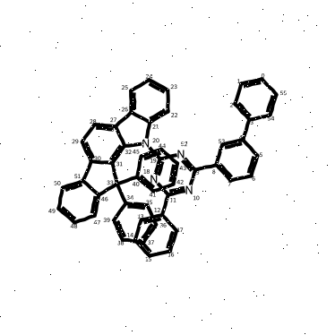 c1ccc(-c2cccc(-c3nc(-c4ccccc4)nc(-n4c5ccccc5c5ccc6c(c54)C(c4ccccc4)(c4ccccc4)c4ccccc4-6)n3)c2)cc1